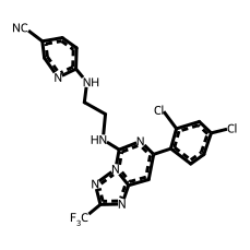 N#Cc1ccc(NCCNc2nc(-c3ccc(Cl)cc3Cl)cc3nc(C(F)(F)F)nn23)nc1